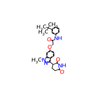 Cn1nc(C2CCC(=O)NC2=O)c2ccc(OCC(=O)Nc3cccc(C(C)(C)C)c3)cc21